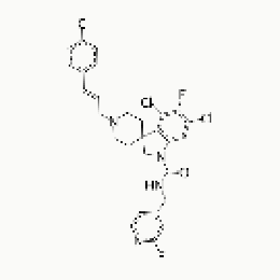 O=C(NCc1ccnc(F)c1)N1CC2(CCN(C/C=C/c3ccc(Cl)cc3)CC2)c2c1cc(Cl)c(F)c2Cl